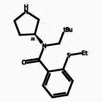 CCSc1ccccc1C(=O)N(CC(C)(C)C)[C@H]1CCNC1